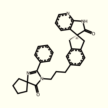 O=C1N(CCCc2ccc3c(c2)C[C@@]2(C3)C(=O)Nc3ncccc32)C(c2ccccc2)=NC12CCCC2